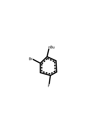 CCCCc1ccc(F)cc1Br